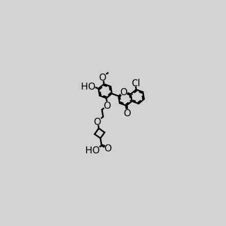 COc1cc(-c2cc(=O)c3cccc(Cl)c3o2)c(OCCOC2CC(C(=O)O)C2)cc1O